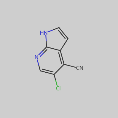 N#Cc1c(Cl)cnc2[nH]ccc12